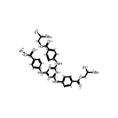 CCCCC(CC)COC(=O)c1ccc(Nc2nc(Nc3ccc(C(=O)OCC(CC)CCCC)cc3)nc(Nc3ccc(C(=O)OC(C)C)cc3)n2)cc1